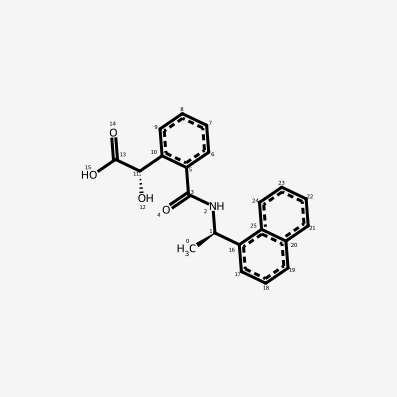 C[C@@H](NC(=O)c1ccccc1[C@H](O)C(=O)O)c1cccc2ccccc12